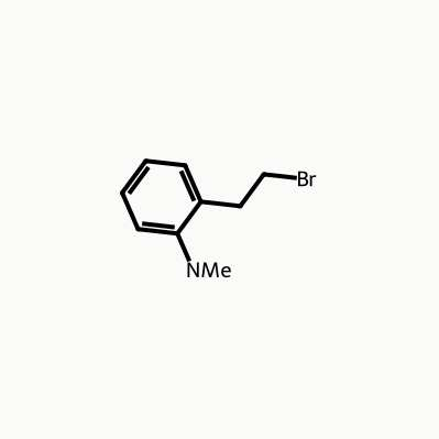 CNc1ccccc1CCBr